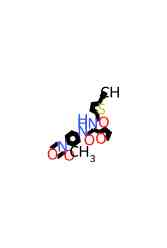 C#Cc1ccc(C(=O)NC(C(=O)Nc2ccc(N3CCOCC3=O)c(C)c2)c2ccco2)s1